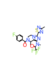 Cc1nsc(-c2nc(N(C)C(=O)C(F)(F)F)c3n2CCN(C(=O)c2ccc(F)cc2)C3C)n1